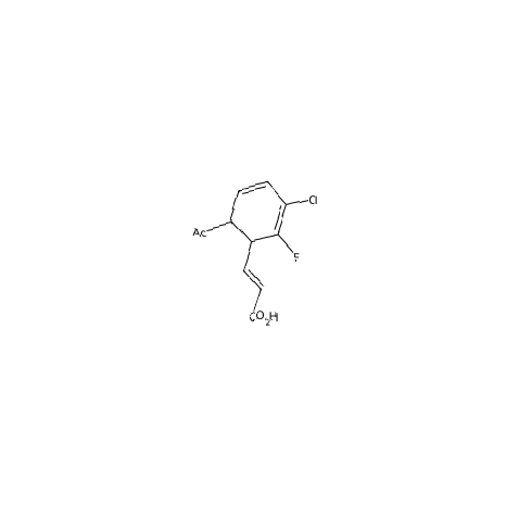 CC(=O)C1C=CC(Cl)=C(F)C1/C=C/C(=O)O